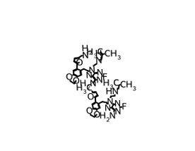 CC(C)CNCCn1c(Cc2cc3c(cc2-c2ccc(CN)o2)OCCO3)nc2c(N)nc(F)nc21.Cc1ccc(-c2cc3c(cc2Cc2nc4c(N)nc(F)nc4n2CCNCC(C)C)OCCO3)o1